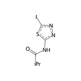 CC(C)C(=O)Nc1nnc(I)s1